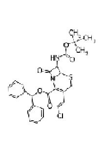 CC(C)(C)OC(=O)NC1C(=O)N2C(C(=O)OC(c3ccccc3)c3ccccc3)=C(C=CCl)CSC12